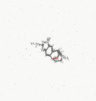 Nc1nc2cc3c(cc2[n+]([O-])n1)C=C1NCCC32CC=CC=C12